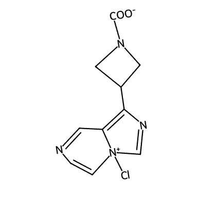 O=C([O-])N1CC(C2=C3C=NC=C[N+]3(Cl)C=N2)C1